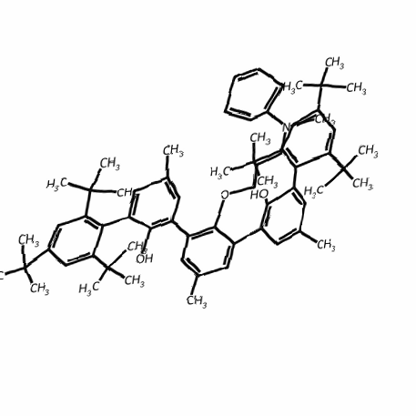 Cc1cc(-c2cc(C)cc(-c3cc(C)cc(-c4c(C(C)(C)C)cc(C(C)(C)C)cc4C(C)(C)C)c3O)c2OCCCN(C)c2ccccc2)c(O)c(-c2c(C(C)(C)C)cc(C(C)(C)C)cc2C(C)(C)C)c1